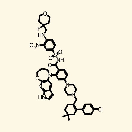 CC1(C)CCC(CN2CCN(c3ccc(C(=O)NS(=O)(=O)c4ccc(NCC5(F)CCOCC5)c([N+](=O)[O-])c4)c(N4CCCOc5nc6[nH]ccc6cc54)c3)CC2)=C(c2ccc(Cl)cc2)C1